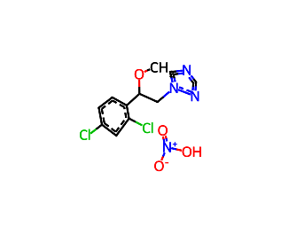 COC(Cn1cncn1)c1ccc(Cl)cc1Cl.O=[N+]([O-])O